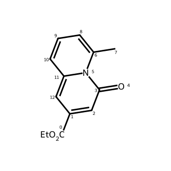 CCOC(=O)c1cc(=O)n2c(C)cccc2c1